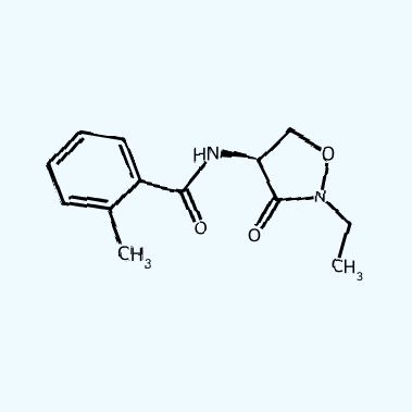 CCN1OC[C@H](NC(=O)c2ccccc2C)C1=O